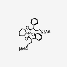 CSCCC(C(=O)P(=O)(C(=O)C(CCSC)c1ccccc1)C1CCCCC1)c1ccccc1